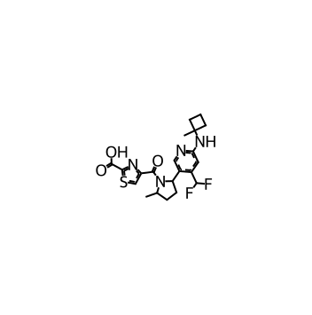 CC1CCC(c2cnc(NC3(C)CCC3)cc2C(F)F)N1C(=O)c1csc(C(=O)O)n1